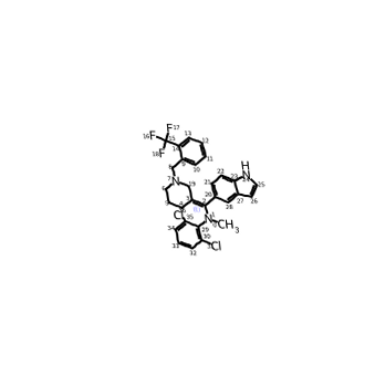 CN(/C(=C1\CCCN(Cc2ccccc2C(F)(F)F)C1)c1ccc2[nH]ccc2c1)c1c(Cl)cccc1Cl